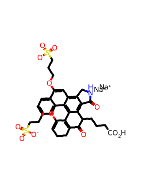 O=C(O)CCCC1C(=O)C2=C(C(OCCCS(=O)(=O)[O-])=CCC2)c2c1c1c(c3cc(OCCCS(=O)(=O)[O-])c4ccccc4c23)CNC1=O.[Na+].[Na+]